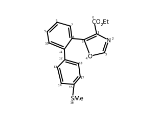 CCOC(=O)c1ncoc1-c1ccccc1-c1ccc(SC)cc1